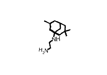 CC1CC2CC(C)(C)CC(NCCN)(C1)C2